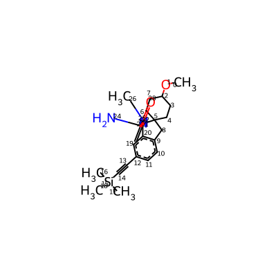 COC1CCC2(CC1)Cc1ccc(C#C[Si](C)(C)C)cc1C21N=C(N)N(C)C1=O